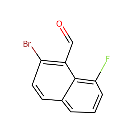 O=Cc1c(Br)ccc2cccc(F)c12